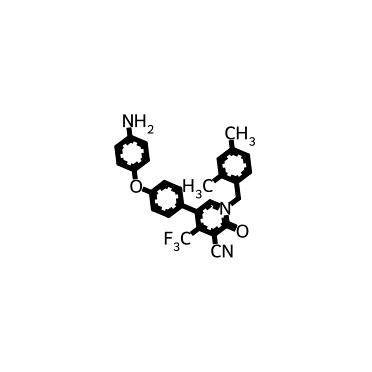 Cc1ccc(Cn2cc(-c3ccc(Oc4ccc(N)cc4)cc3)c(C(F)(F)F)c(C#N)c2=O)c(C)c1